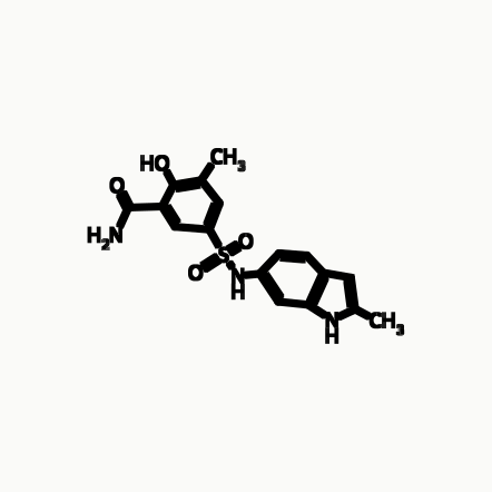 Cc1cc2ccc(NS(=O)(=O)c3cc(C)c(O)c(C(N)=O)c3)cc2[nH]1